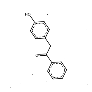 O=C(Cc1ccc(O)cc1)c1ccccc1